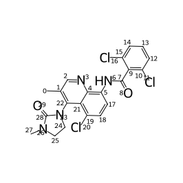 Cc1cnc2c(NC(=O)c3c(Cl)cccc3Cl)ccc(Cl)c2c1N1CCN(C)C1=O